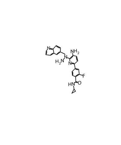 Nc1ccc(-c2ccc(C(=O)NC3CC3)c(F)c2)nc1N(N)Cc1ccc2ncccc2c1